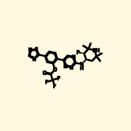 CC1(C)C[C@H](Nc2ncc(-c3ccc(-c4ncns4)cc3OC(=O)C(F)(F)F)nn2)[C@H](F)C(C)(C)N1